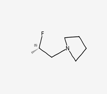 C[C@H](F)CN1CCCC1